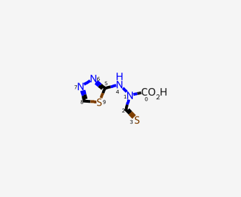 O=C(O)N(C=S)Nc1nncs1